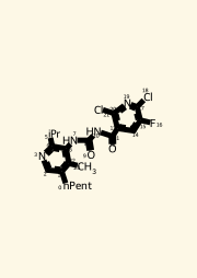 CCCCCc1cnc(C(C)C)c(NC(=O)NC(=O)c2cc(F)c(Cl)nc2Cl)c1C